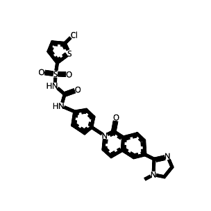 CN1CCN=C1c1ccc2c(=O)n(-c3ccc(NC(=O)NS(=O)(=O)c4ccc(Cl)s4)cc3)ccc2c1